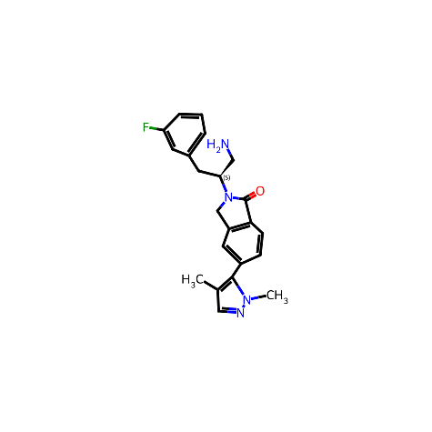 Cc1cnn(C)c1-c1ccc2c(c1)CN([C@H](CN)Cc1cccc(F)c1)C2=O